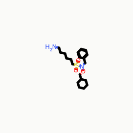 NCCCCCCS(=O)(=O)N(Cc1ccccc1)OCC1CCCCC1